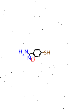 Nc1noc2cc(S)ccc12